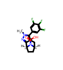 Cn1nc2c(c1-c1cc(F)c(F)c(F)c1)C[C@H]1CC[C@@H]2N1C(=O)O